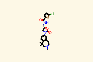 CN1CCc2cc(N3C[C@H](CNC(=O)c4ccc(Cl)s4)OC3=O)ccc2C(C)(C)C1